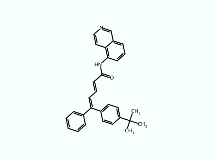 CC(C)(C)c1ccc(/C(=C\C=C\C(=O)Nc2cccc3cnccc23)c2ccccc2)cc1